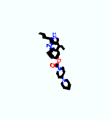 CC/C=C1\NCc2c1nc1ccc(OC(=O)N3CCC(N4CCCCC4)CC3)cc1c2CC